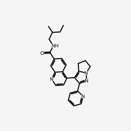 CCC(C)CNC(=O)c1ccc2c(-c3c(-c4ccccn4)nn4c3CCC4)ccnc2c1